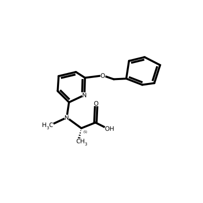 C[C@@H](C(=O)O)N(C)c1cccc(OCc2ccccc2)n1